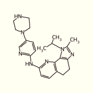 Cc1nc2c(n1C(C)C)-c1nc(Nc3ccc(N4CCNCC4)cn3)ccc1CC2